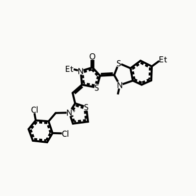 CCc1ccc2c(c1)S/C(=c1/s/c(=C\c3scc[n+]3Cc3c(Cl)cccc3Cl)n(CC)c1=O)N2C